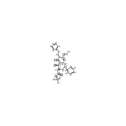 CCOC(=O)[C@H](CCc1ccccc1)N[C@@H]1CC[C@@H](c2ccccc2)CN(CC(=O)OC(C)(C)C)C1=O